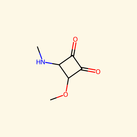 CNC1C(=O)C(=O)C1OC